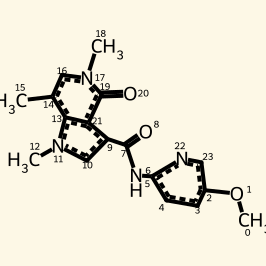 COc1ccc(NC(=O)c2cn(C)c3c(C)cn(C)c(=O)c23)nc1